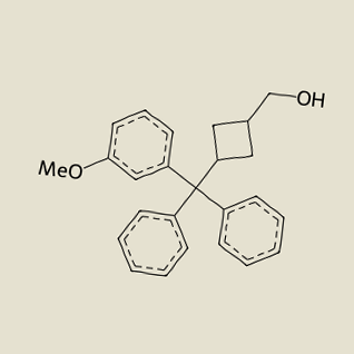 COc1cccc(C(c2ccccc2)(c2ccccc2)C2CC(CO)C2)c1